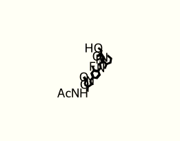 CC(=O)NCC1CN(c2ccc(N3CC4CCCN(C(=O)CO)[C@@H]4C3)c(F)c2)C(=O)O1